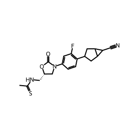 CC(=S)NC[C@H]1CN(c2ccc(C3CC4C(C#N)C4C3)c(F)c2)C(=O)O1